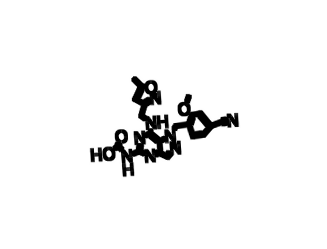 COc1cc(C#N)ccc1Cn1ncc2nc(NC(=O)O)nc(NCc3cc(C)on3)c21